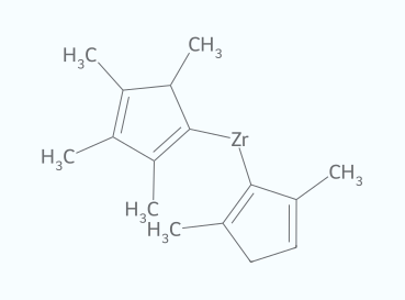 CC1=CCC(C)=[C]1[Zr][C]1=C(C)C(C)=C(C)C1C